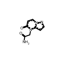 NC(=O)Cn1c(=O)ccn2nccc12